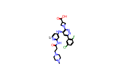 CN1CCN(CCC(=O)Nc2cc(Nc3cc(-c4cc(Cl)ccc4F)nnc3N3CC(C(=O)O)C3)ccn2)CC1.[Li]